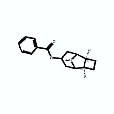 CN1C2CC(OC(=O)c3ccccc3)CC1[C@@H]1CC[C@H]21